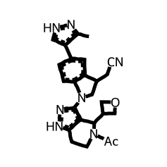 CC(=O)N1CCc2[nH]nc(N3CC(CC#N)c4cc(-c5c[nH]nc5C)ccc43)c2C1C1COC1